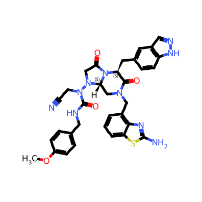 COc1ccc(CNC(=O)N(CC#N)N2CC(=O)N3[C@@H](Cc4ccc5[nH]ncc5c4)C(=O)N(Cc4cccc5sc(N)nc45)C[C@@H]32)cc1